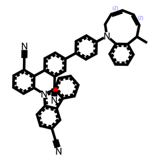 CC1/C=C\C=C/CN(c2ccc(-c3ccc(-c4c(C#N)cccc4-n4c5ccccc5c5cc(C#N)ccc54)c(C#N)c3)cc2)c2ccccc21